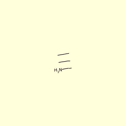 CC.CC.CN